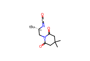 CC1(C)CC(=O)N(C[C@@H](N=C=O)C(C)(C)C)C(=O)C1